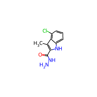 Cc1c(C(=O)NN)[nH]c2cccc(Cl)c12